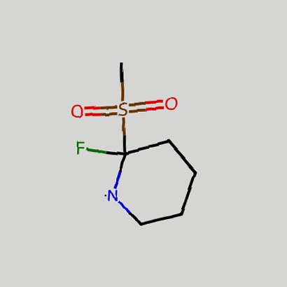 CS(=O)(=O)C1(F)CCCC[N]1